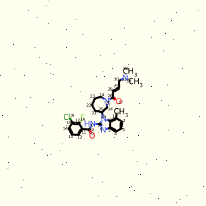 Cc1cccc2nc(NC(=O)c3cccc(Cl)c3F)n(C3CCCCN(C(=O)C=CCN(C)C)C3)c12